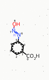 O=C(O)c1cccc(/N=N/O)c1